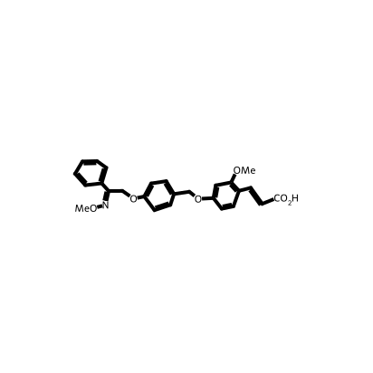 CON=C(COc1ccc(COc2ccc(C=CC(=O)O)c(OC)c2)cc1)c1ccccc1